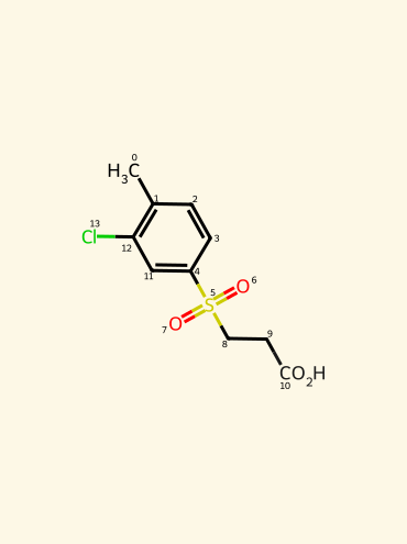 Cc1ccc(S(=O)(=O)CCC(=O)O)cc1Cl